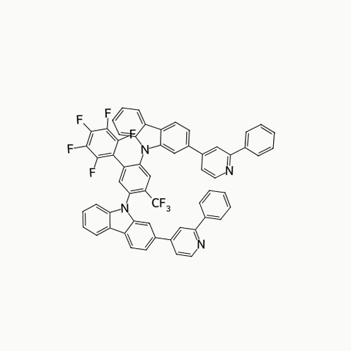 Fc1c(F)c(F)c(-c2cc(-n3c4ccccc4c4ccc(-c5ccnc(-c6ccccc6)c5)cc43)c(C(F)(F)F)cc2-n2c3ccccc3c3ccc(-c4ccnc(-c5ccccc5)c4)cc32)c(F)c1F